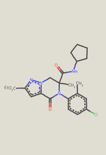 CCOC(=O)c1cc2n(n1)CC(C)(C(=O)NC1CCCC1)N(c1ccc(Cl)cc1C)C2=O